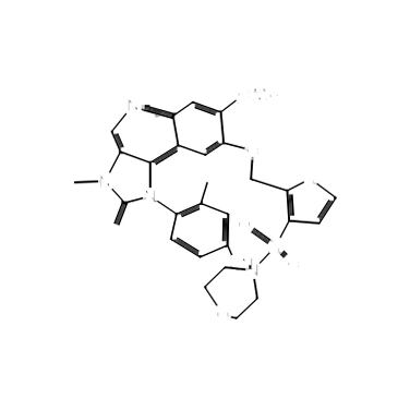 C=c1cc(OC)c(OCc2sccc2S(=O)(=O)N2CCOCC2)c/c1=c1/c(=C\N)n(C)c(=O)n1-c1ccc(C#N)cc1F